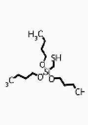 CCCCO[Si](CS)(OCCCC)OCCCC